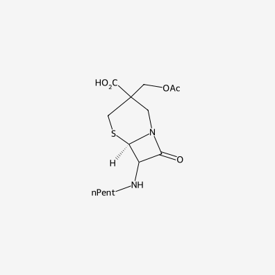 CCCCCNC1C(=O)N2CC(COC(C)=O)(C(=O)O)CS[C@H]12